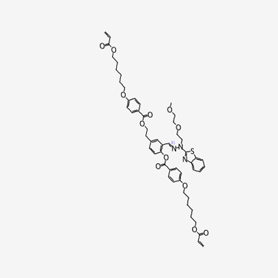 C=CC(=O)OCCCCCCOc1ccc(C(=O)OCCc2ccc(OC(=O)c3ccc(OCCCCCCOC(=O)C=C)cc3)c(/C=N/N(CCOCCOC)c3nc4ccccc4s3)c2)cc1